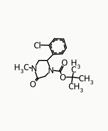 CN1CC(c2ccccc2Cl)N(C(=O)OC(C)(C)C)CC1=O